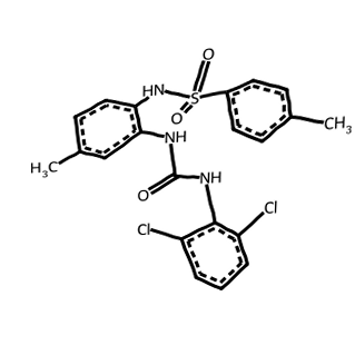 Cc1ccc(S(=O)(=O)Nc2ccc(C)cc2NC(=O)Nc2c(Cl)cccc2Cl)cc1